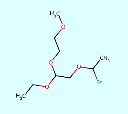 CCOC(COC(C)Br)OCCOC